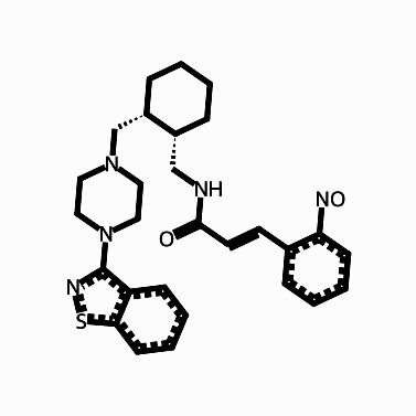 O=Nc1ccccc1/C=C/C(=O)NC[C@H]1CCCC[C@H]1CN1CCN(c2nsc3ccccc23)CC1